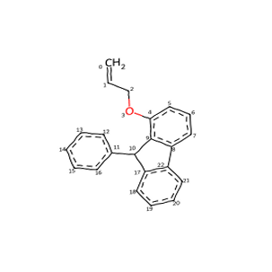 C=CCOc1cccc2c1C(c1ccccc1)c1ccccc1-2